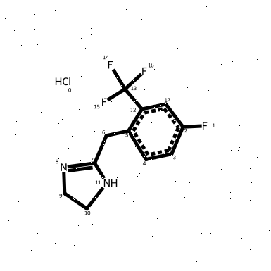 Cl.Fc1ccc(CC2=NCCN2)c(C(F)(F)F)c1